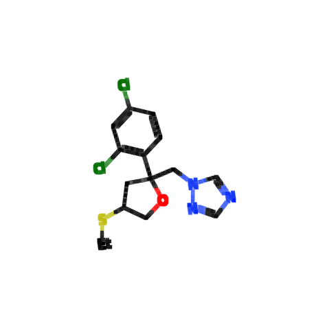 CCSC1COC(Cn2cncn2)(c2ccc(Cl)cc2Cl)C1